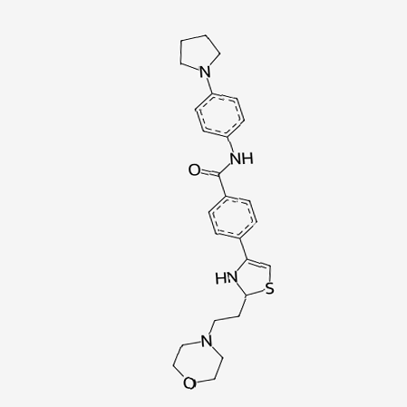 O=C(Nc1ccc(N2CCCC2)cc1)c1ccc(C2=CSC(CCN3CCOCC3)N2)cc1